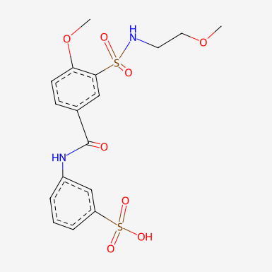 COCCNS(=O)(=O)c1cc(C(=O)Nc2cccc(S(=O)(=O)O)c2)ccc1OC